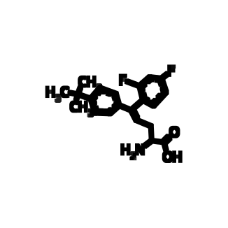 CC(C)(C)c1ccc(C(=CCC(N)C(=O)O)c2ccc(F)cc2F)cc1